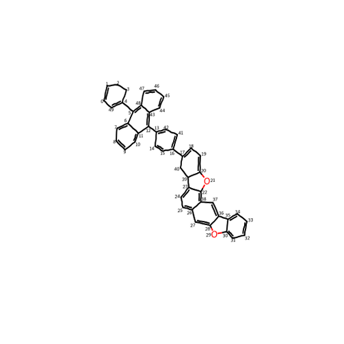 C1=CCCC(c2c3ccccc3c(-c3ccc(C4=CC=C5Oc6c(ccc7cc8oc9ccccc9c8cc67)C5C4)cc3)c3ccccc23)=C1